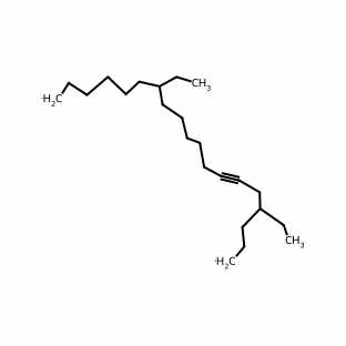 [CH2]CCCCCC(CC)CCCCCC#CCC(CC)CC[CH2]